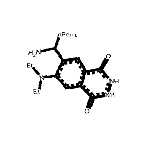 CCCCCC(N)c1cc2c(=O)[nH][nH]c(=O)c2cc1N(CC)CC